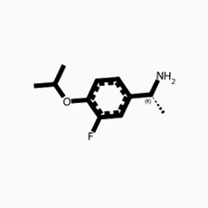 CC(C)Oc1ccc([C@@H](C)N)cc1F